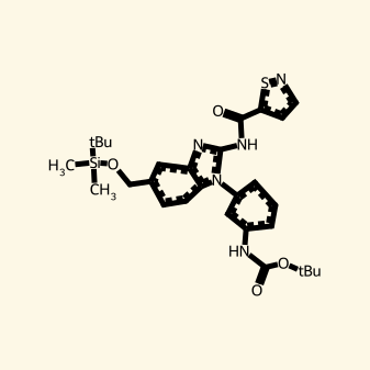 CC(C)(C)OC(=O)Nc1cccc(-n2c(NC(=O)c3ccns3)nc3cc(CO[Si](C)(C)C(C)(C)C)ccc32)c1